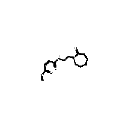 COC(=O)/C=C\C(=O)NCCN1CCCCCC1=O